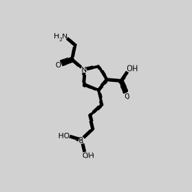 NCC(=O)N1CC(CCCB(O)O)C(C(=O)O)C1